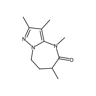 Cc1nn2c(c1C)N(C)C(=O)C(C)CC2